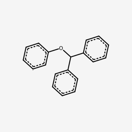 [c]1cccc(OC(c2ccccc2)c2ccccc2)c1